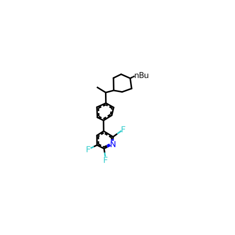 CCCCC1CCC(C(C)c2ccc(-c3cc(F)c(F)nc3F)cc2)CC1